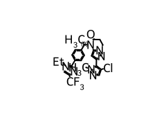 CCn1cc(C(F)(F)F)nc1-c1ccc([C@@H](C)N2C(=O)CCn3nc(-c4c(Cl)cnn4C)cc32)cc1